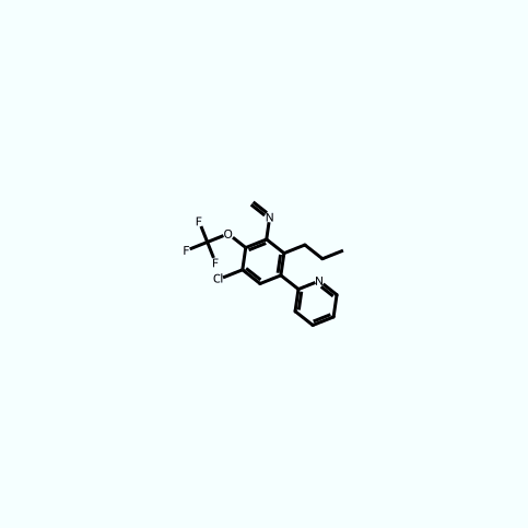 C=Nc1c(CCC)c(-c2ccccn2)cc(Cl)c1OC(F)(F)F